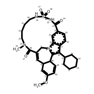 COC1=CC2C=C3Cn4c(c(C5CCCCC5)c5ccc(cc54)C(=O)NS(=O)(=O)NCCCCN(C)C3=O)C2C=C1